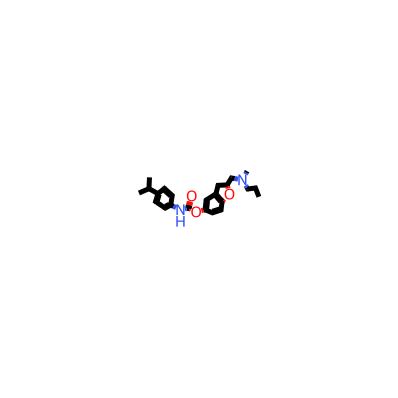 CCCN(C)CC1Cc2cc(OC(=O)Nc3ccc(C(C)C)cc3)ccc2O1